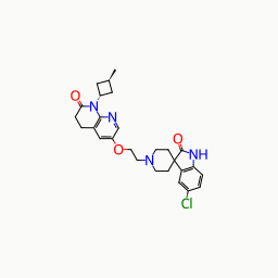 C[C@H]1C[C@H](N2C(=O)CCc3cc(OCCN4CCC5(CC4)C(=O)Nc4ccc(Cl)cc45)cnc32)C1